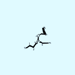 CC[CH]P(CC)OCC